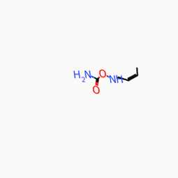 C/C=C\CNOC(N)=O